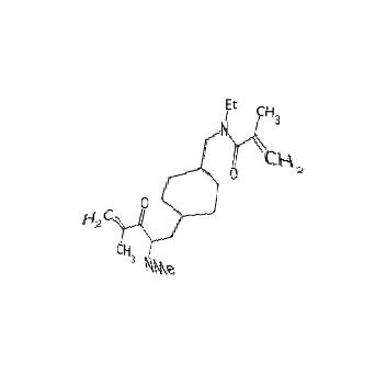 C=C(C)C(=O)C(CC1CCC(CN(CC)C(=O)C(=C)C)CC1)NC